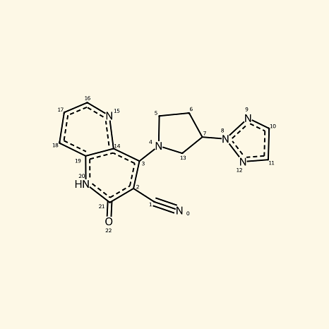 N#Cc1c(N2CCC(n3nccn3)C2)c2ncccc2[nH]c1=O